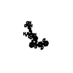 COc1ccccc1-c1ccc(C(=O)N2Cc3ccc(C(=O)N[C@@H](CCCCNC(=O)O)C(N)=O)n3Cc3ccccc32)cc1OC